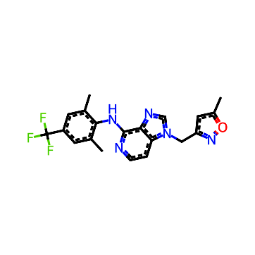 Cc1cc(Cn2cnc3c(Nc4c(C)cc(C(F)(F)F)cc4C)nccc32)no1